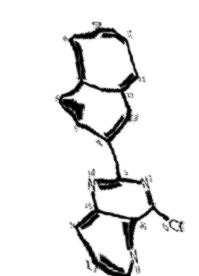 Clc1nc(-c2ccc3ccccc3c2)nc2cccnc12